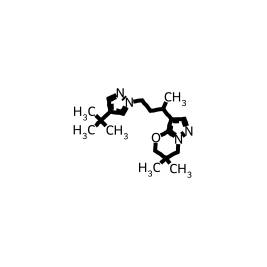 CC(CCn1cc(C(C)(C)C)cn1)c1cnn2c1OCC(C)(C)C2